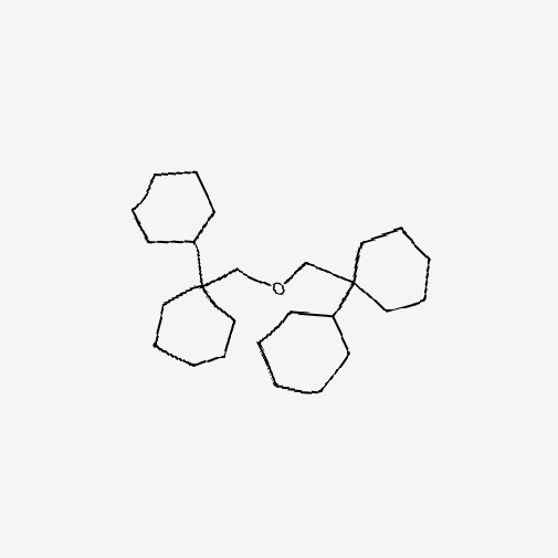 C1CCC(C2(COCC3(C4CCCCC4)CCCCC3)CCCCC2)CC1